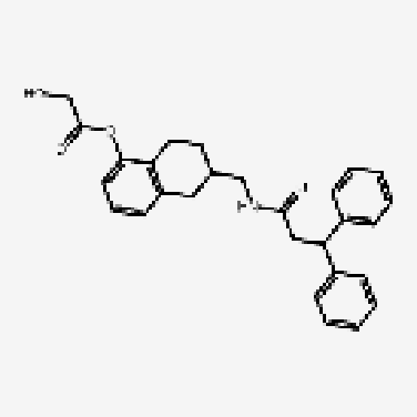 O=C(CC(c1ccccc1)c1ccccc1)NCC1CCc2c(cccc2OC(=O)CO)C1